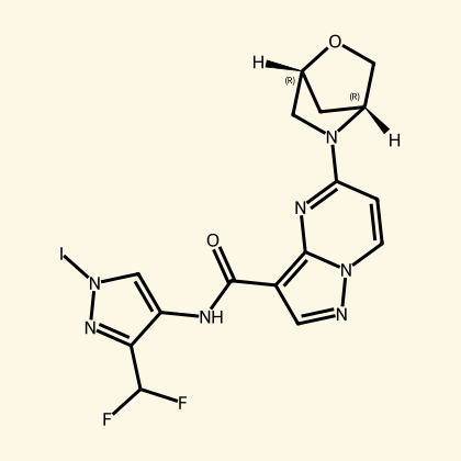 O=C(Nc1cn(I)nc1C(F)F)c1cnn2ccc(N3C[C@H]4C[C@@H]3CO4)nc12